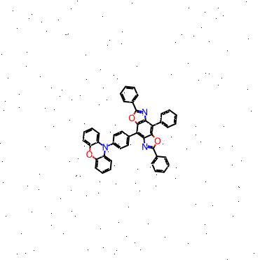 c1ccc(-c2nc3c(-c4ccc(N5c6ccccc6Oc6ccccc65)cc4)c4oc(-c5ccccc5)nc4c(-c4ccccc4)c3o2)cc1